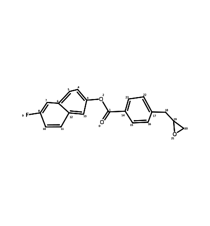 O=C(Oc1ccc2cc(F)ccc2c1)c1ccc(CC2CO2)cc1